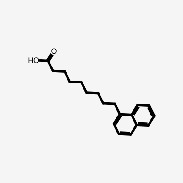 O=C(O)CCCCCCCCc1cccc2ccccc12